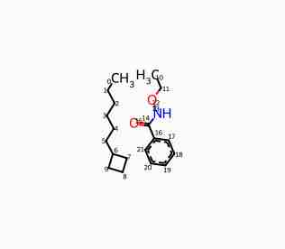 CCCCCCC1CCC1.CCONC(=O)c1ccccc1